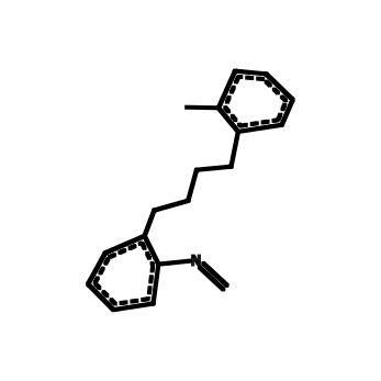 C=Nc1ccccc1CCCCc1ccccc1C